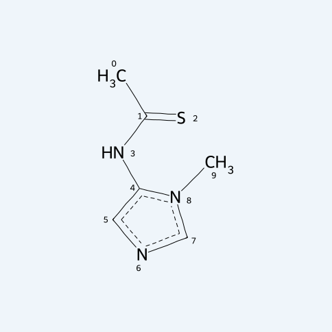 CC(=S)Nc1cncn1C